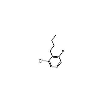 CCCCc1c(F)cccc1Cl